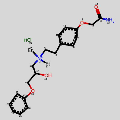 CC[N+](CC)(CCc1ccc(OCC(N)=O)cc1)CC(O)COc1ccccc1.Cl